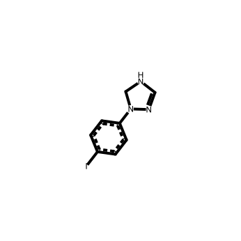 Ic1ccc(N2CNC=N2)cc1